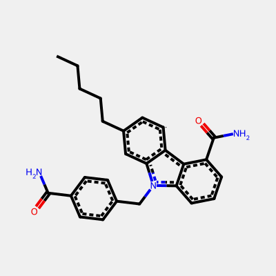 CCCCCc1c[c]c2c3c(C(N)=O)cccc3n(Cc3ccc(C(N)=O)cc3)c2c1